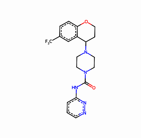 O=C(Nc1cccnn1)N1CCN(C2CCOc3ccc(C(F)(F)F)cc32)CC1